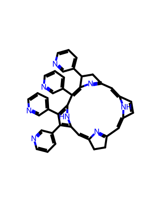 c1cncc(-c2c(-c3cccnc3)c3[nH]c2cc2nc(cc4ccc(cc5nc(c3-c3cccnc3)C(c3cccnc3)C5)[nH]4)CC2)c1